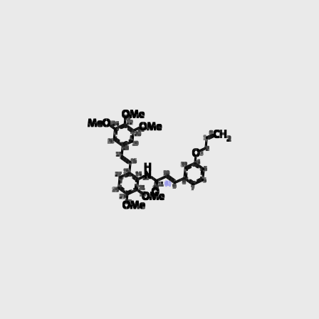 C=CCOc1cccc(/C=C/C(=O)Nc2c(C=Cc3cc(OC)c(OC)c(OC)c3)ccc(OC)c2OC)c1